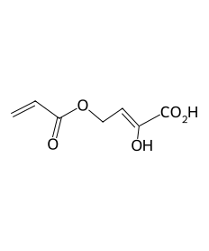 C=CC(=O)OCC=C(O)C(=O)O